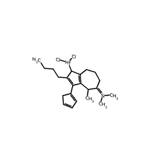 CCCCC1=C(C2=CC=CC2)C2=C(CCCC(=[Si](C)C)C2C)[CH]1[Hf]([Cl])[Cl]